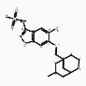 CC1CC2CCCC(COc3cc4onc(NS(C)(=O)=O)c4cc3Cl)(C1)C2